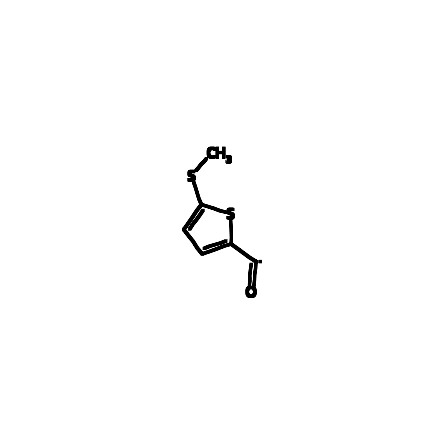 CSc1ccc([C]=O)s1